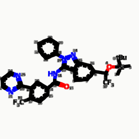 CC(C)(C)[Si](C)(C)OC(c1ccc2c(NC(=O)c3ccc(C(F)(F)F)c(-c4ncccn4)c3)n(-c3ccccc3)nc2c1)C(F)(F)F